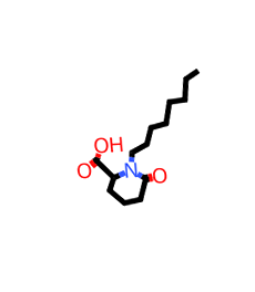 CCCCCCCCN1C(=O)CCCC1C(=O)O